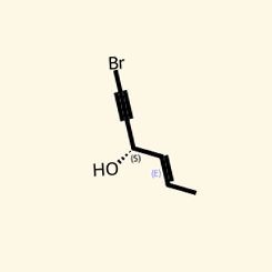 C/C=C/[C@H](O)C#CBr